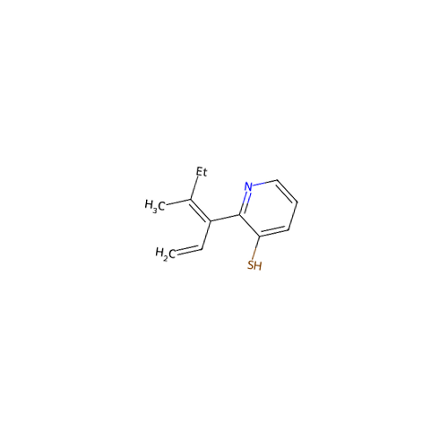 C=C/C(=C(\C)CC)c1ncccc1S